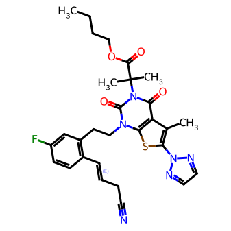 CCCCOC(=O)C(C)(C)n1c(=O)c2c(C)c(-n3nccn3)sc2n(CCc2cc(F)ccc2/C=C/CC#N)c1=O